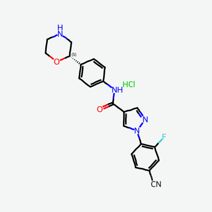 Cl.N#Cc1ccc(-n2cc(C(=O)Nc3ccc([C@H]4CNCCO4)cc3)cn2)c(F)c1